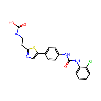 O=C(O)NCCc1ncc(-c2ccc(NC(=O)Nc3ccccc3Cl)cc2)s1